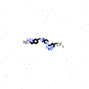 N#Cc1cc2ccc(CN3CC4(CCN(c5ncnn6cc(CC(F)(F)F)cc56)C4)C3)cc2[nH]1